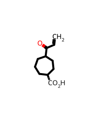 C=CC(=O)C1CCCC(C(=O)O)CC1